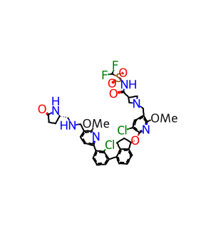 COc1nc(-c2cccc(-c3cccc4c3CC[C@@H]4Oc3nc(OC)c(CN4CC(C(=O)NS(=O)(=O)C(F)F)C4)cc3Cl)c2Cl)ccc1CNC[C@@H]1CCC(=O)N1